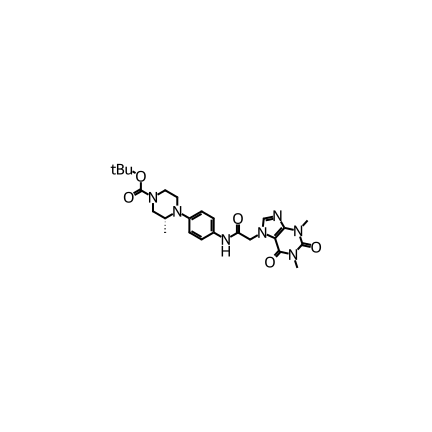 C[C@@H]1CN(C(=O)OC(C)(C)C)CCN1c1ccc(NC(=O)Cn2cnc3c2c(=O)n(C)c(=O)n3C)cc1